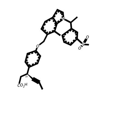 CC#C[C@@H](CC(=O)O)c1ccc(OCc2ccc3ccn(C(C)c4cccc(S(C)(=O)=O)c4)c3c2C)cc1